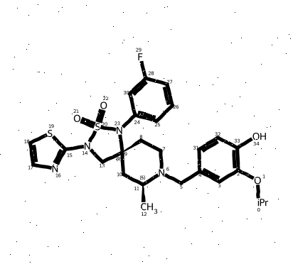 CC(C)Oc1cc(CN2CC[C@@]3(C[C@@H]2C)CN(c2nccs2)S(=O)(=O)N3c2cccc(F)c2)ccc1O